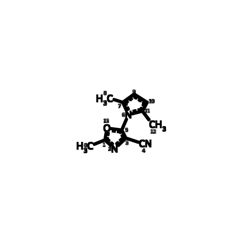 Cc1nc(C#N)c(-n2c(C)ccc2C)o1